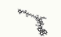 CCCCOC(C)[C@@H](NC(=O)COCCOCCNC(=O)OCc1ccccc1)C(=O)NNC(=O)[C@H](N)CC(=O)NC(c1ccccc1)(c1ccccc1)c1ccccc1